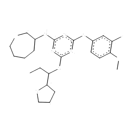 CCC(Nc1nc(Nc2ccc(OC)c(F)c2)nc(NC2CCCCOC2)n1)C1CCCN1